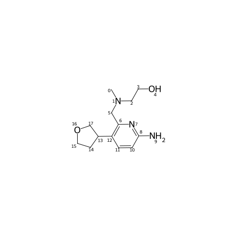 CN(CCO)Cc1nc(N)ccc1C1CCOC1